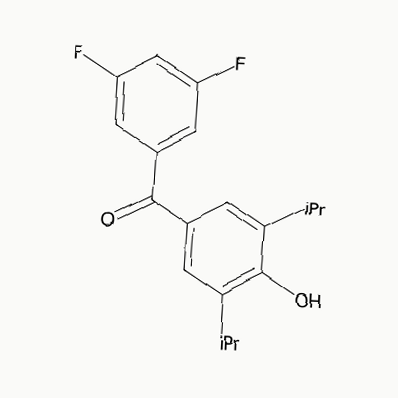 CC(C)c1cc(C(=O)c2cc(F)cc(F)c2)cc(C(C)C)c1O